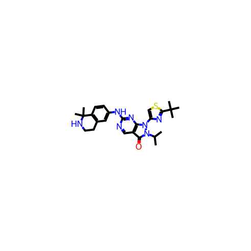 CC(C)n1c(=O)c2cnc(Nc3ccc4c(c3)CCNC4(C)C)nc2n1-c1csc(C(C)(C)C)n1